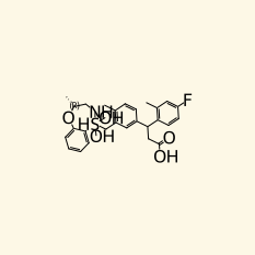 Cc1ccc(C(CC(=O)O)c2ccc(F)cc2C)cc1C[SH]1(O)(O)NC[C@@H](C)Oc2ccccc21